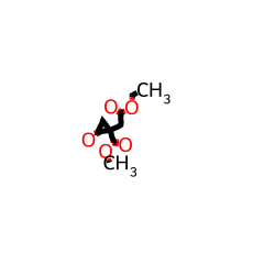 CCOC(=O)CC1(C(=O)OC)CC1=O